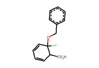 O=C(O)C1C=CC=CC1(F)OCc1ccccc1